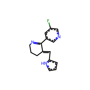 Fc1cncc(C2=NCCCC2=Cc2ccc[nH]2)c1